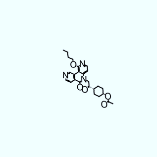 CCCCOc1nccc2c1c1cnccc1c(=O)n2CC(=O)[C@H]1CC[C@H](OC(C)=O)CC1